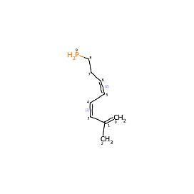 C=C(C)/C=C\C=C/CCP